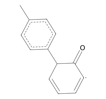 Cc1ccc(C2C=CC=[C]C2=O)cc1